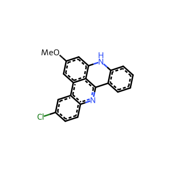 COc1cc2c3c(nc4ccc(Cl)cc4c3c1)-c1ccccc1N2